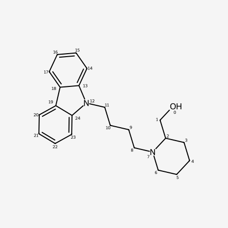 OCC1CCCCN1CCCCn1c2ccccc2c2ccccc21